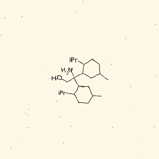 CC1CCC(C(C)C)C(C(N)(CO)C2CC(C)CCC2C(C)C)C1